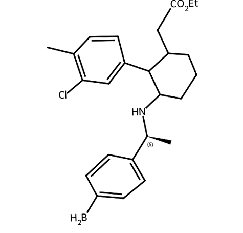 Bc1ccc([C@H](C)NC2CCCC(CC(=O)OCC)C2c2ccc(C)c(Cl)c2)cc1